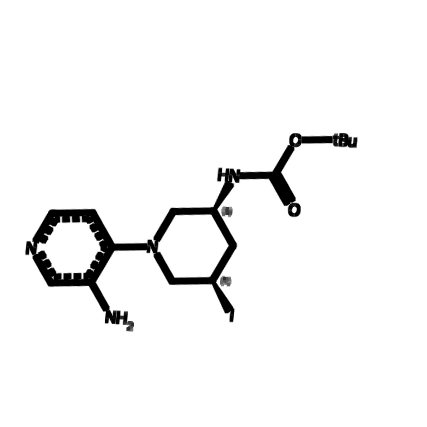 CC(C)(C)OC(=O)N[C@H]1C[C@@H](I)CN(c2ccncc2N)C1